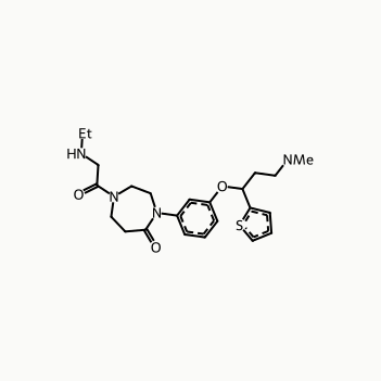 CCNCC(=O)N1CCC(=O)N(c2cccc(OC(CCNC)c3cccs3)c2)CC1